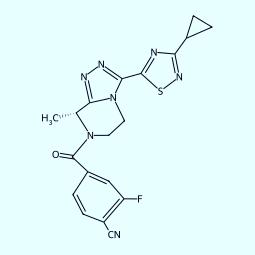 C[C@@H]1c2nnc(-c3nc(C4CC4)ns3)n2CCN1C(=O)c1ccc(C#N)c(F)c1